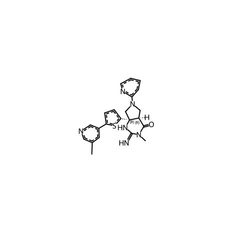 Cc1cncc(-c2ccc([C@]34CN(c5ccccn5)C[C@H]3C(=O)N(C)C(=N)N4)s2)c1